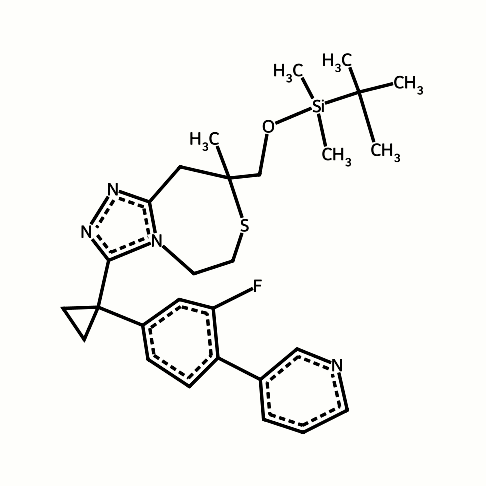 CC1(CO[Si](C)(C)C(C)(C)C)Cc2nnc(C3(c4ccc(-c5cccnc5)c(F)c4)CC3)n2CCS1